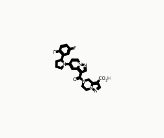 O=C(O)c1cnn2c1CN(C(=O)c1cnn3ccc(N4CCCC4c4cc(F)ccc4F)cc13)CC2